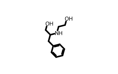 OCCNC(CO)Cc1ccccc1